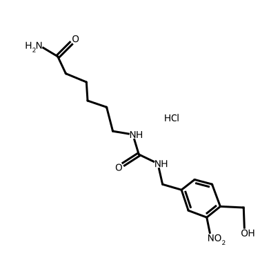 Cl.NC(=O)CCCCCNC(=O)NCc1ccc(CO)c([N+](=O)[O-])c1